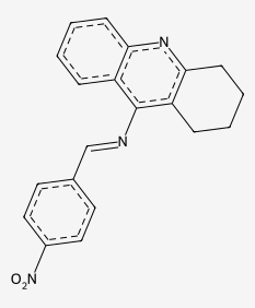 O=[N+]([O-])c1ccc(C=Nc2c3c(nc4ccccc24)CCCC3)cc1